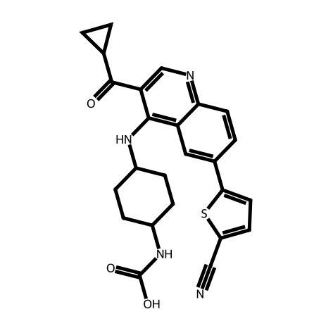 N#Cc1ccc(-c2ccc3ncc(C(=O)C4CC4)c(NC4CCC(NC(=O)O)CC4)c3c2)s1